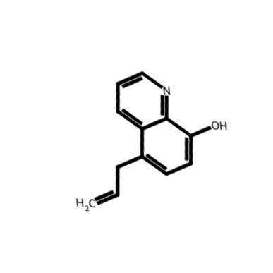 C=CCc1ccc(O)c2ncccc12